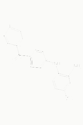 Nc1cc([N+](=O)[O-])ccc1Nc1ccc(C(=O)c2ccccc2)cc1